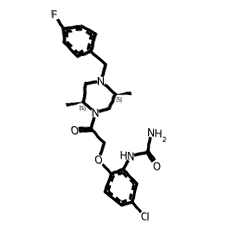 C[C@H]1CN(C(=O)COc2ccc(Cl)cc2NC(N)=O)[C@@H](C)CN1Cc1ccc(F)cc1